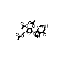 CC(=O)OC[C@H]1O[C@@H](n2cnc3c2N=CNCC3=O)[C@H](OC(C)=O)[C@@H]1OC(C)=O